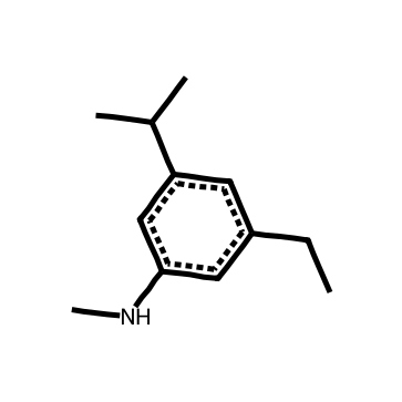 CCc1cc(NC)cc(C(C)C)c1